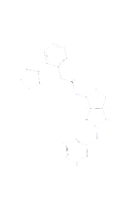 O=C(Cc1ccccc1C1CCCC1)NC1CCC2CN(Cc3ccccc3)CC21